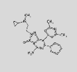 Cc1cc(-c2c(-c3ccccc3)nc(N)n3c(=O)n(CCN(C)C4CC4)nc23)cc(C)n1